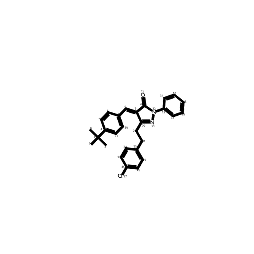 CC(C)(C)c1ccc(/C=C2/C(=O)N(c3ccccc3)N=C2CCc2ccc(Cl)cc2)cc1